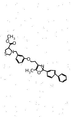 COC(=O)C1CSCN1Cc1cccc(OCCc2nc(-c3ccc(-c4ccccc4)cc3)oc2C)c1